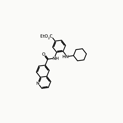 CCOC(=O)c1ccc(NC2CCCCC2)c(NC(=O)c2ccc3ncccc3c2)c1